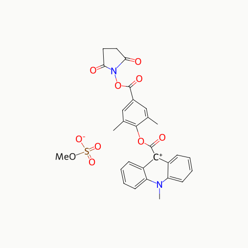 COS(=O)(=O)[O-].Cc1cc(C(=O)ON2C(=O)CCC2=O)cc(C)c1OC(=O)[c+]1c2ccccc2n(C)c2ccccc21